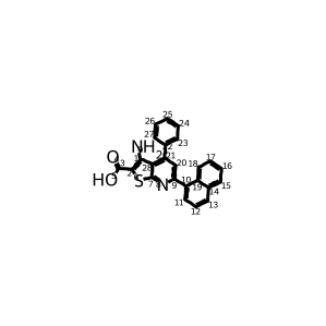 Nc1c(C(=O)O)sc2nc(-c3cccc4ccccc34)cc(-c3ccccc3)c12